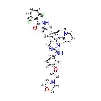 C=C(/C(=C1/C=CC=CN1C)c1ccnc(Nc2cccc(OCCN3CCOCC3)c2)n1)c1cccc(NC(=O)c2c(F)cccc2F)c1